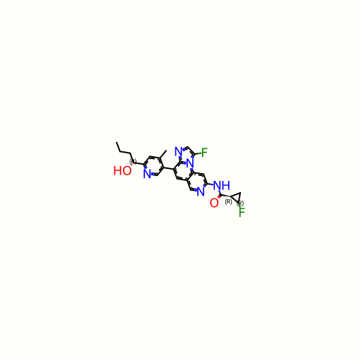 CCC[C@@H](O)c1cc(C)c(-c2cc3cnc(NC(=O)[C@H]4C[C@H]4F)cc3n3c(F)cnc23)cn1